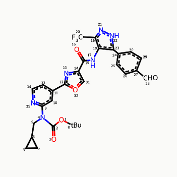 CC(C)(C)OC(=O)N(CC1CC1)c1cc(-c2nc(C(=O)Nc3c(C(F)(F)F)n[nH]c3-c3ccc(C=O)cc3)co2)ccn1